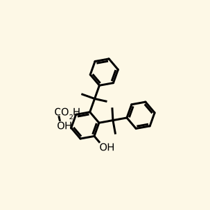 CC(C)(c1ccccc1)c1cccc(O)c1C(C)(C)c1ccccc1.O=C(O)O